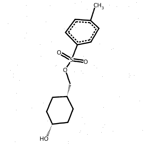 Cc1ccc(S(=O)(=O)OC[C@H]2CC[C@@H](O)CC2)cc1